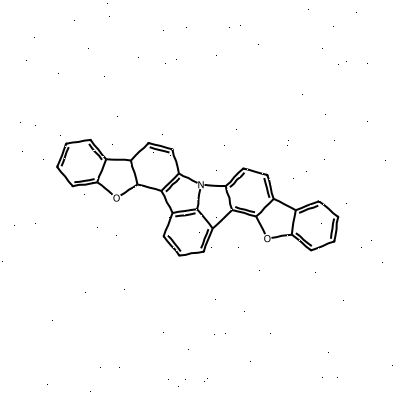 C1=CC2c3ccccc3OC2c2c1n1c3ccc4c5ccccc5oc4c3c3cccc2c31